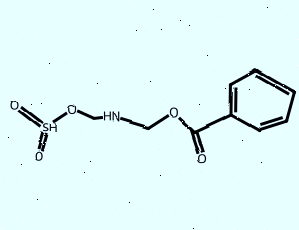 O=C(OCNCO[SH](=O)=O)c1ccccc1